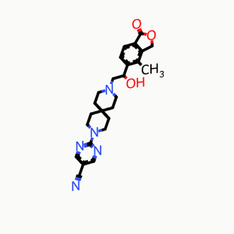 Cc1c(C(O)CN2CCC3(CC2)CCN(c2ncc(C#N)cn2)CC3)ccc2c1COC2=O